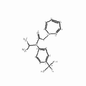 CC(C)N(C(=O)CN1C=CC=CC=N1)c1ccc(C(F)(F)F)cc1